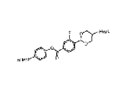 CCCCCCCc1ccc(OC(=O)c2ccc(C3OCC(CCCCCCC)CO3)c(F)c2)cc1